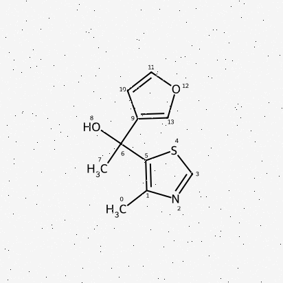 Cc1ncsc1C(C)(O)c1ccoc1